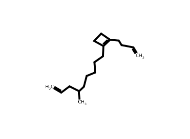 C=CCCC1=C(CCCCCC(C)CC=C)CC1